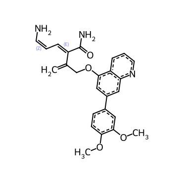 C=C(COc1cc(-c2ccc(OC)c(OC)c2)cc2ncccc12)/C(=C\C=C/N)C(N)=O